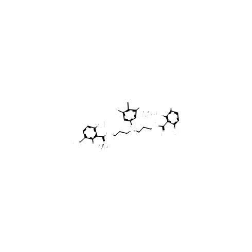 COc1c(Cl)ccc(Cl)c1C(=O)OCCCN(CCCOC(=O)c1c(Cl)ccc(Cl)c1OC)c1cc(C)c(C)c(C)c1